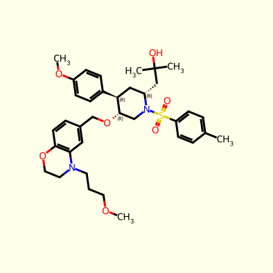 COCCCN1CCOc2ccc(CO[C@H]3CN(S(=O)(=O)c4ccc(C)cc4)[C@@H](CC(C)(C)O)C[C@@H]3c3ccc(OC)cc3)cc21